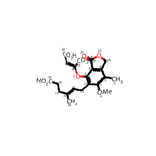 COc1c(C)c2c(c(O/C(=C/C(=O)O)C(=O)O)c1C/C=C(\C)CCC(=O)O)C(=O)OC2